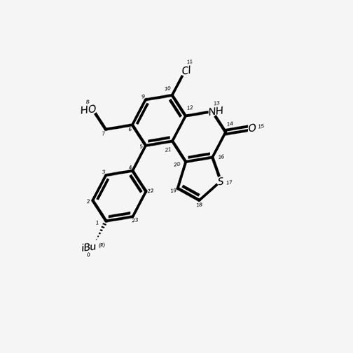 CC[C@@H](C)c1ccc(-c2c(CO)cc(Cl)c3[nH]c(=O)c4sccc4c23)cc1